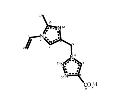 C=Cn1cc(Cn2cc(C(=O)O)nn2)nc1C